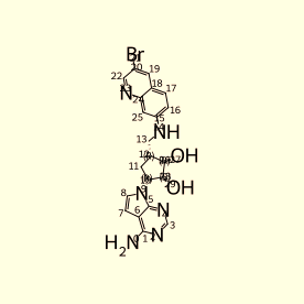 Nc1ncnc2c1ccn2[C@@H]1C[C@H](CNc2ccc3cc(Br)cnc3c2)[C@@H](O)[C@H]1O